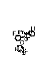 CC(C)N(C(=O)c1cc(F)ccc1Oc1cnc[n+]([O-])c1)[C@H]1C[C@H]2CC[C@@H]1O2